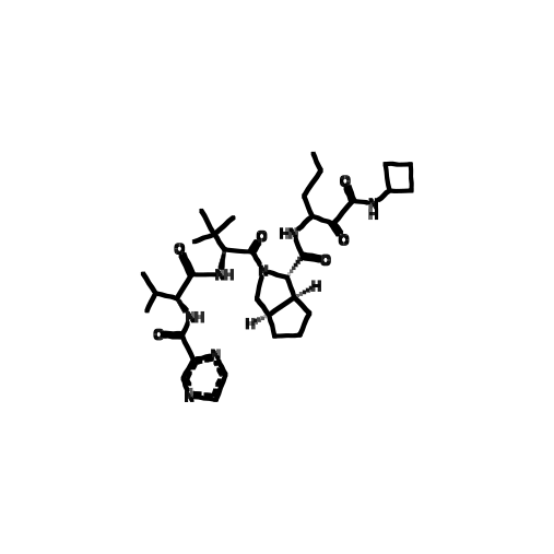 CCCC(NC(=O)[C@@H]1[C@H]2CCC[C@H]2CN1C(=O)[C@@H](NC(=O)[C@@H](NC(=O)c1cnccn1)C(C)C)C(C)(C)C)C(=O)C(=O)NC1CCC1